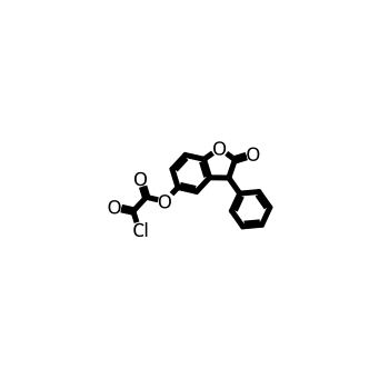 O=C(Cl)C(=O)Oc1ccc2c(c1)C(c1ccccc1)C(=O)O2